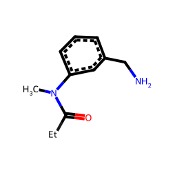 [CH2]CC(=O)N(C)c1cccc(CN)c1